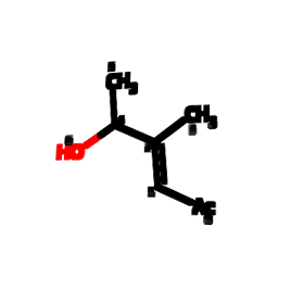 CC(=O)/C=C(\C)C(C)O